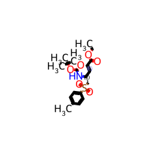 CCOC(=O)/C=C/[C@H](CS(=O)(=O)c1ccc(C)cc1)NC(=O)OC(C)(C)C